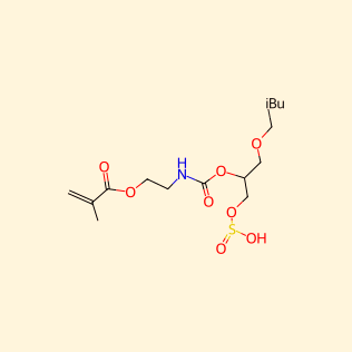 C=C(C)C(=O)OCCNC(=O)OC(COCC(C)CC)COS(=O)O